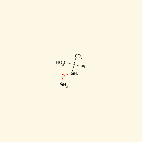 CCC([SiH2]O[SiH3])(C(=O)O)C(=O)O